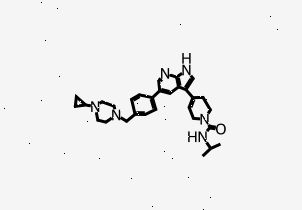 CC(C)NC(=O)N1CC=C(c2c[nH]c3ncc(-c4ccc(CN5CCN(C6CC6)CC5)cc4)cc23)CC1